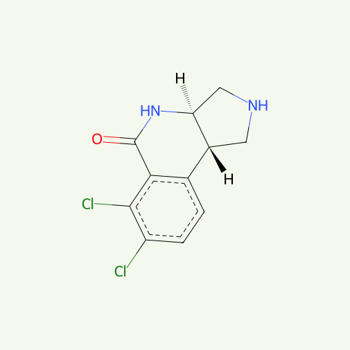 O=C1N[C@H]2CNC[C@@H]2c2ccc(Cl)c(Cl)c21